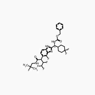 CC(C)(F)CNC(=O)C(c1ccc2[nH]c([C@@H](NC(=O)OCc3ccccc3)C3CCC(F)(F)CC3)nc2c1F)C(F)C(F)F